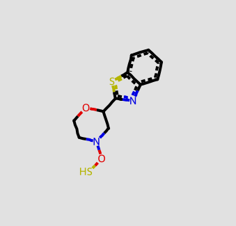 SON1CCOC(c2nc3ccccc3s2)C1